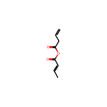 C=CCC(=O)OC(=O)/C=C/C